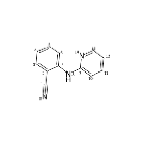 N#Cc1ccccc1Nc1ccccn1